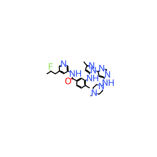 Cc1cc(Nc2cc(C(=O)Nc3cncc(CC(C)F)c3)ccc2C)n(-c2cc(NN3CCN(C)CC3)ncn2)n1